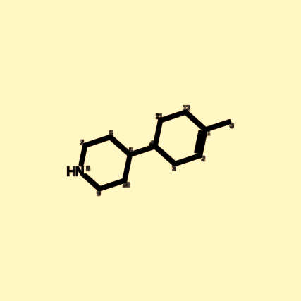 CC1=CCC(C2CCNCC2)CC1